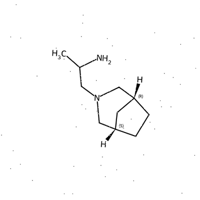 CC(N)CN1C[C@@H]2CC[C@@H](C2)C1